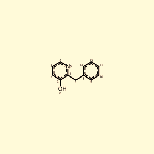 Oc1cccnc1Cc1ccccc1